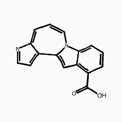 O=C(O)c1cccc2c1cc1c3ccnc-3cccn12